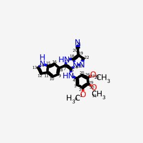 COc1cc(Nc2c(-c3ccc4cc[nH]c4c3)[nH]c3c(C#N)cnn23)cc(OC)c1OC